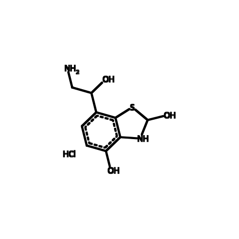 Cl.NCC(O)c1ccc(O)c2c1SC(O)N2